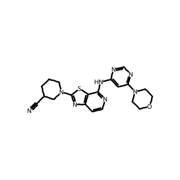 N#CC1CCCN(c2nc3ccnc(Nc4cc(N5CCOCC5)ncn4)c3s2)C1